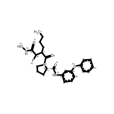 CCCCC(C(=O)N1CCC[C@H]1C(=O)Nc1cccc(Oc2ccccc2)c1)C(F)C(=O)NO